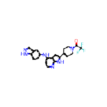 O=C(N1CC=C(c2cc3c(Nc4ccc5[nH]ncc5c4)ccnc3[nH]2)CC1)C(F)(F)F